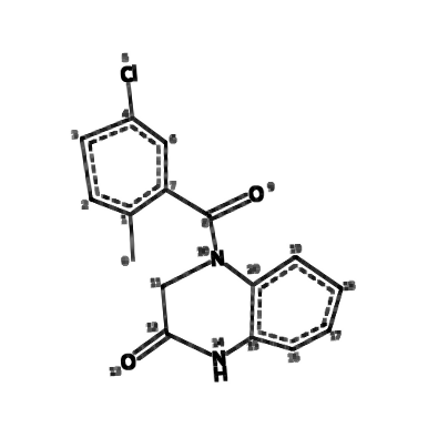 Cc1ccc(Cl)cc1C(=O)N1CC(=O)Nc2ccccc21